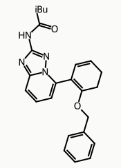 CCC(C)C(=O)Nc1nc2cccc(C3=C(OCc4ccccc4)CCC=C3)n2n1